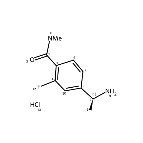 CNC(=O)c1ccc([C@H](C)N)cc1F.Cl